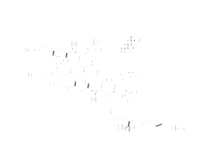 CCCCCCC=CCCCC(=O)O[C@H](CCCCCCC)CCO[C@@H]1[C@@H](NC(=O)CC(=O)CCCCCCCCCCC)[C@H](OC[C@H]2O[C@H](OP(=O)([O-])[O-])[C@H](NC(=O)CC(=O)CCCCCCCCCCC)[C@@H](OCC[C@H](O)CCCCCCC)[C@@H]2O)O[C@H](COC)[C@H]1OP(=O)([O-])[O-].[Na+].[Na+].[Na+].[Na+]